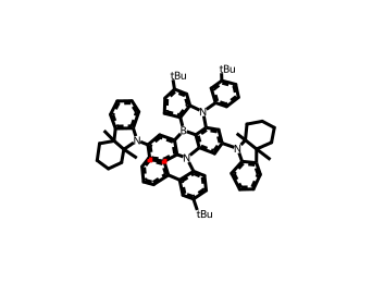 CC(C)(C)c1cccc(N2c3cc(C(C)(C)C)ccc3B3c4cc(N5c6ccccc6C6(C)CCCCC56C)ccc4N(c4ccc(C(C)(C)C)cc4-c4ccccc4)c4cc(N5c6ccccc6C6(C)CCCCC56C)cc2c43)c1